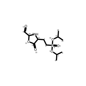 CC(C)OP(=O)(CCC1NC(C=O)OC1=O)OC(C)C